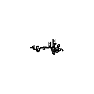 CCOC(=O)C1=C(NC)C(NCCSCc2ccc(CN(C)C)o2)=NS1(=O)=O